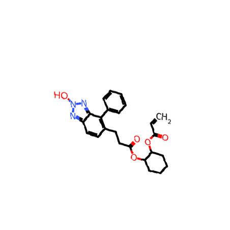 C=CC(=O)OC1CCCCC1OC(=O)CCc1ccc2nn(O)nc2c1-c1ccccc1